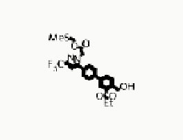 CCS(=O)(=O)c1cc(-c2ccc(-c3cc(C(F)(F)F)nn3CC(=O)OCSC)cc2)ccc1CO